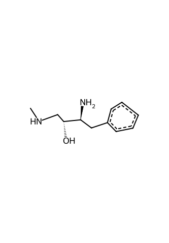 CNC[C@@H](O)[C@@H](N)Cc1ccccc1